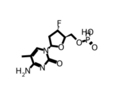 Cc1cn([C@H]2C[C@H](F)[C@@H](CO[PH](=O)O)O2)c(=O)nc1N